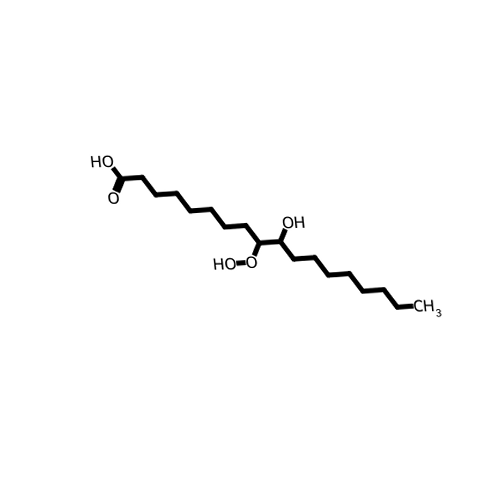 CCCCCCCCC(O)C(CCCCCCCC(=O)O)OO